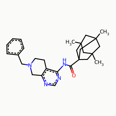 CC12CC3(C)CC(C)(C1)CC(C(=O)Nc1ncnc4c1CCN(Cc1ccccc1)C4)(C2)C3